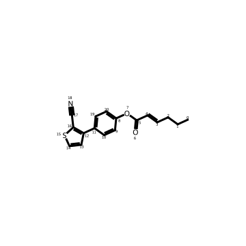 CCCC=CC(=O)Oc1ccc(-c2ccsc2C#N)cc1